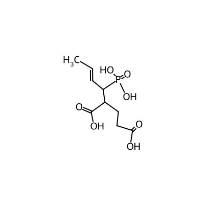 CC=CC(C(CCC(=O)O)C(=O)O)P(=O)(O)O